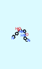 CN1CCc2ccc(NC(=O)c3cccc(C(CO)NC(=O)c4ccc(-c5ccncc5)cc4)c3)cc2C1